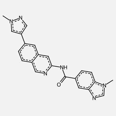 Cn1cc(-c2ccc3cnc(NC(=O)c4ccc5c(c4)ncn5C)cc3c2)cn1